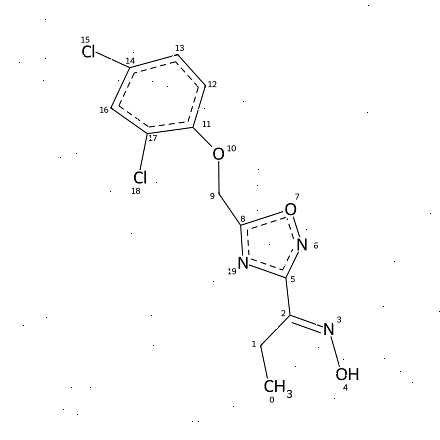 CCC(=NO)c1noc(COc2ccc(Cl)cc2Cl)n1